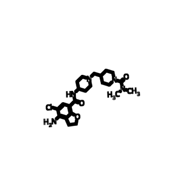 CN(C)C(=O)N1CCC(CN2CCC(NC(=O)c3cc(Cl)c(N)c4c3OCC4)CC2)CC1